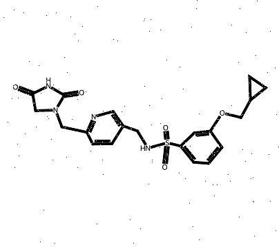 O=C1CN(Cc2ccc(CNS(=O)(=O)c3cccc(OCC4CC4)c3)cn2)C(=O)N1